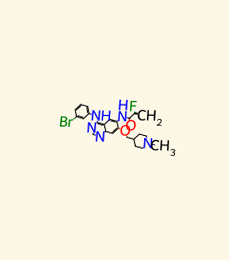 C=C(F)C(=O)Nc1cc2c(Nc3cccc(Br)c3)ncnc2cc1OCC1CCN(C)CC1